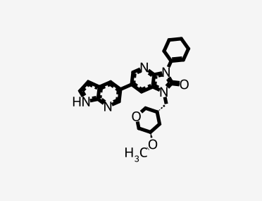 CO[C@@H]1COC[C@H](Cn2c(=O)n(C3=CCCCC3)c3ncc(-c4cnc5[nH]ccc5c4)cc32)C1